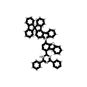 c1ccc(C2=NC(c3ccc(-n4c5ccccc5c5c6c(ccc54)C4(c5ccccc5-c5ccccc54)c4ccccc4-6)c4oc5ccccc5c34)NC(c3ccccc3)=N2)cc1